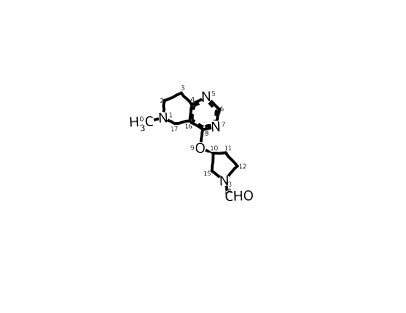 CN1CCc2ncnc(O[C@H]3CCN(C=O)C3)c2C1